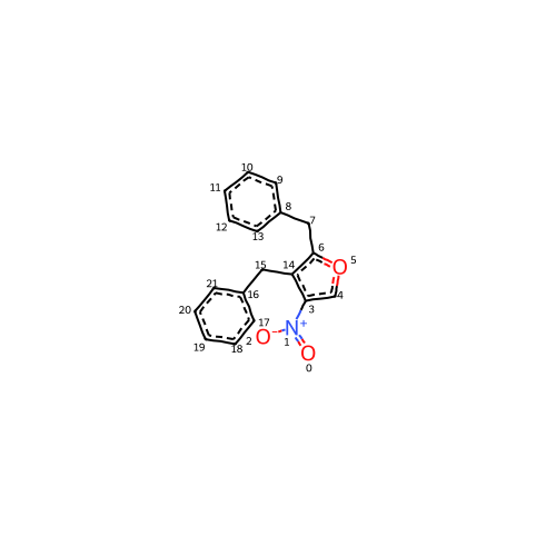 O=[N+]([O-])c1coc(Cc2ccccc2)c1Cc1ccccc1